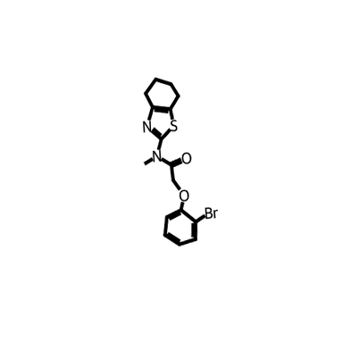 CN(C(=O)COc1ccccc1Br)c1nc2c(s1)CCCC2